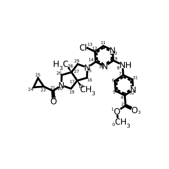 COC(=O)c1ccc(Nc2ncc(Cl)c(N3C[C@]4(C)CN(C(=O)C5CC5)C[C@]4(C)C3)n2)cn1